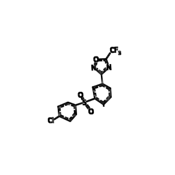 O=S(=O)(c1[c]ccc(-c2noc(C(F)(F)F)n2)c1)c1ccc(Cl)cc1